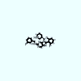 Fc1cccc(CNc2ncc3nc(-c4c(F)cccc4I)n(C[C@@H]4CCCNC4)c3n2)c1